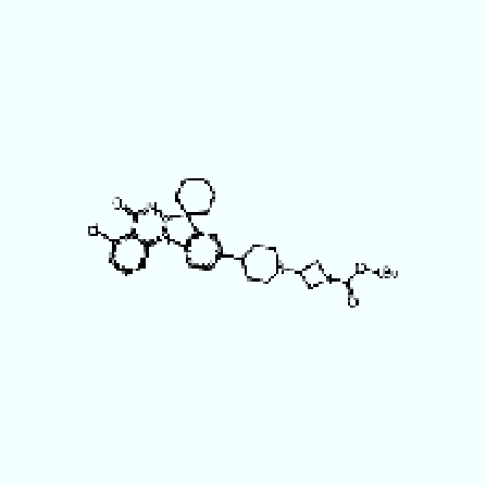 CC(C)(C)OC(=O)N1CC(N2CCC(c3ccc4c(c3)C3(CCCCC3)c3nc(=O)c5c(Cl)cccc5n3-4)CC2)C1